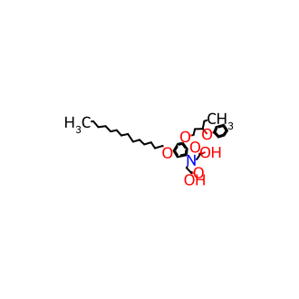 CCCCCCCCCCCCCCOc1cc(OCCC(CC)Oc2ccccc2)cc(N(CC(=O)O)CC(=O)O)c1